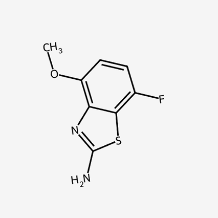 COc1ccc(F)c2sc(N)nc12